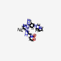 CCc1cc(N2CCN3CCC[C@@H]3C2)ccc1Nc1ncc(C#N)c(NCCCN2CC=COC2=O)n1